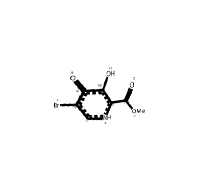 COC(=O)c1[nH]cc(Br)c(=O)c1O